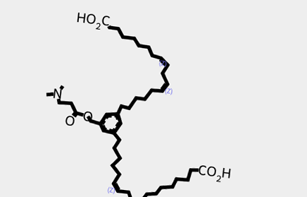 CN(C)CCC(=O)OCc1cc(CCCCC/C=C\C/C=C\CCCCCCCC(=O)O)cc(CCCCC/C=C\C/C=C\CCCCCCCC(=O)O)c1